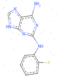 Nc1nc(Nc2ccccc2F)nc2[nH]cnc12